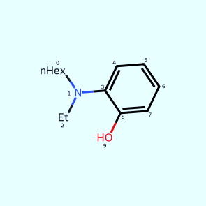 CCCCCCN(CC)c1ccccc1O